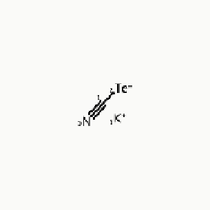 N#C[Te-].[K+]